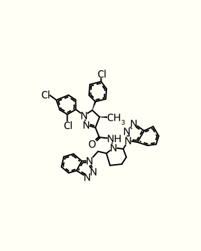 C[C@H]1C(C(=O)NN2C(Cn3nnc4ccccc43)CCCC2n2nnc3ccccc32)=NN(c2ccc(Cl)cc2Cl)[C@H]1c1ccc(Cl)cc1